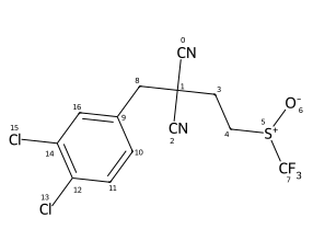 N#CC(C#N)(CC[S+]([O-])C(F)(F)F)Cc1ccc(Cl)c(Cl)c1